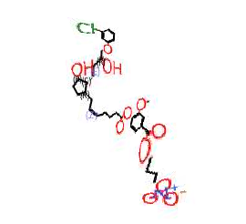 COc1cc(C(=O)OCCCCO[N+](=O)[O-])ccc1OC(=O)CCC/C=C\C[C@H]1CC[C@@H](O)[C@@H]1/C=C/[C@@H](O)COc1cccc(Cl)c1